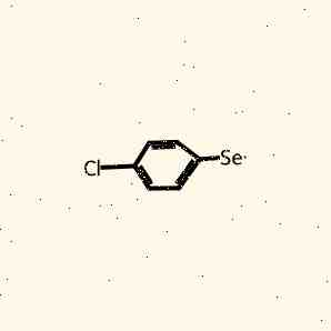 Clc1ccc([Se])cc1